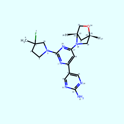 CC1(F)CCN(c2nc(-c3cnc(N)nc3)cc(N3C[C@@H]4C[C@H]3CO4)n2)C1